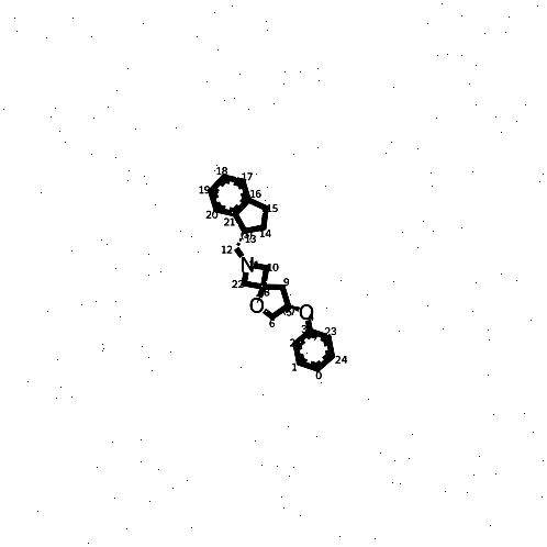 c1ccc(O[C@H]2COC3(C2)CN(C[C@H]2CCc4ccccc42)C3)cc1